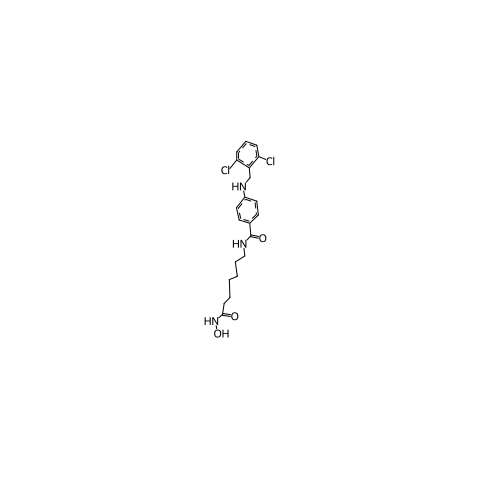 O=C(CCCCCCNC(=O)c1ccc(NCc2c(Cl)cccc2Cl)cc1)NO